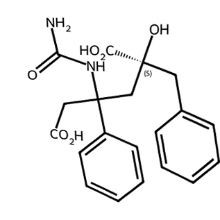 NC(=O)NC(CC(=O)O)(C[C@@](O)(Cc1ccccc1)C(=O)O)c1ccccc1